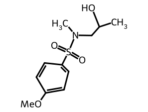 COc1ccc(S(=O)(=O)N(C)CC(C)O)cc1